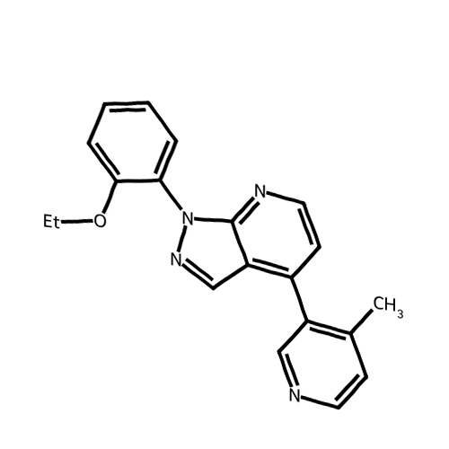 CCOc1ccccc1-n1ncc2c(-c3cnccc3C)ccnc21